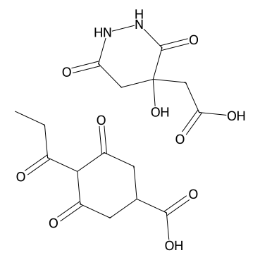 CCC(=O)C1C(=O)CC(C(=O)O)CC1=O.O=C(O)CC1(O)CC(=O)NNC1=O